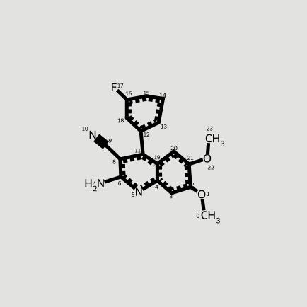 COc1cc2nc(N)c(C#N)c(-c3cccc(F)c3)c2cc1OC